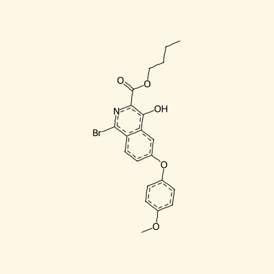 CCCCOC(=O)c1nc(Br)c2ccc(Oc3ccc(OC)cc3)cc2c1O